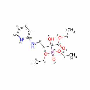 CCOC(=O)C(O)(CCNc1ccccn1)P(=O)(OCC)OCC